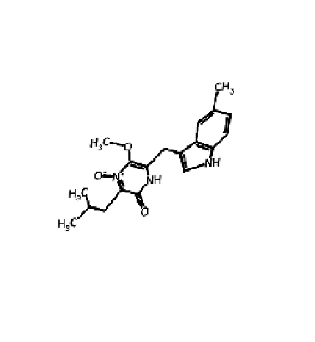 COc1c(Cc2c[nH]c3ccc(C)cc23)[nH]c(=O)c(CC(C)C)[n+]1[O-]